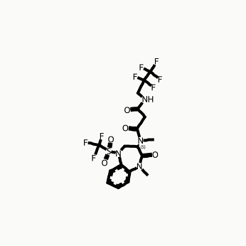 CN1C(=O)[C@@H](N(C)C(=O)CC(=O)NCC(F)(F)C(F)(F)F)CN(S(=O)(=O)C(F)(F)F)c2ccccc21